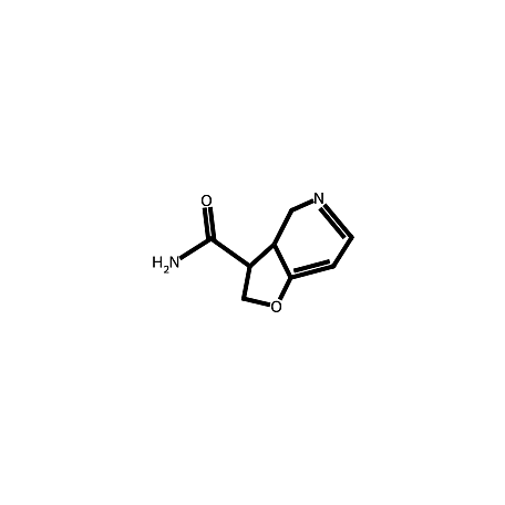 NC(=O)C1COC2=CC=NCC21